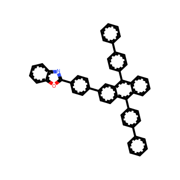 c1ccc(-c2ccc(-c3c4ccccc4c(-c4ccc(-c5ccccc5)cc4)c4cc(-c5ccc(-c6nc7ccccc7o6)cc5)ccc34)cc2)cc1